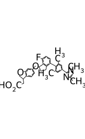 Cc1cn(C)c(-c2cc(C)c(-c3ccc(F)c4c3CC[C@H]4Oc3ccc4c(c3)OCC4CC(=O)O)c(C)c2)n1